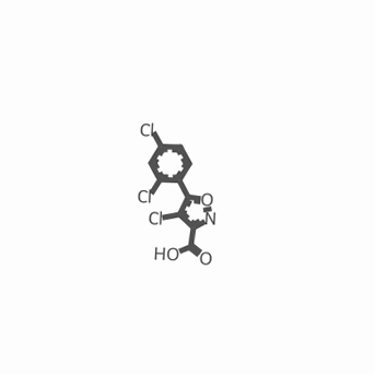 O=C(O)c1noc(-c2ccc(Cl)cc2Cl)c1Cl